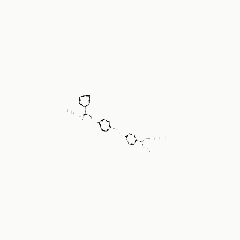 N#CC(CC(=O)O)c1ccc(OCc2ccc(OCC(=NO)c3ccccc3)cc2)cc1